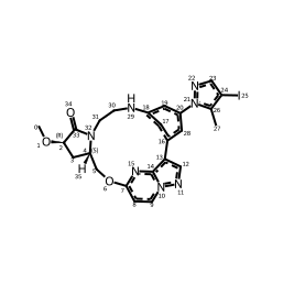 CO[C@@H]1C[C@H]2COc3ccn4ncc(c4n3)-c3cc(cc(-n4ncc(I)c4C)c3)NCCN2C1=O